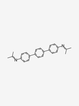 CC(C)=Nc1ccc(-c2ccc(-c3ccc(N=C(C)C)cc3)cc2)cc1